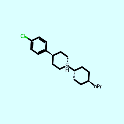 CCC[C@H]1CC[C@H]([Si@H]2CC[C@H](c3ccc(Cl)cc3)CC2)CC1